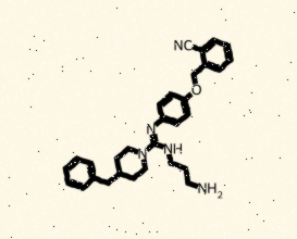 N#Cc1ccccc1COc1ccc(/N=C(\NCCCN)N2CCC(Cc3ccccc3)CC2)cc1